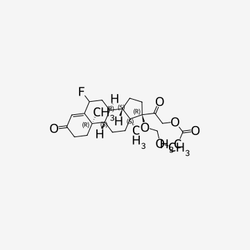 COCO[C@]1(C(=O)COC(C)=O)CC[C@H]2[C@@H]3CC(F)C4=CC(=O)CC[C@]4(C)[C@H]3CC[C@@]21C